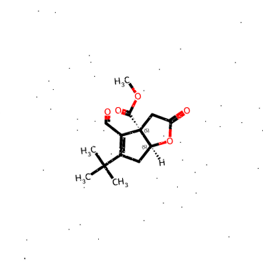 COC(=O)[C@]12CC(=O)O[C@H]1CC(C(C)(C)C)=C2C=O